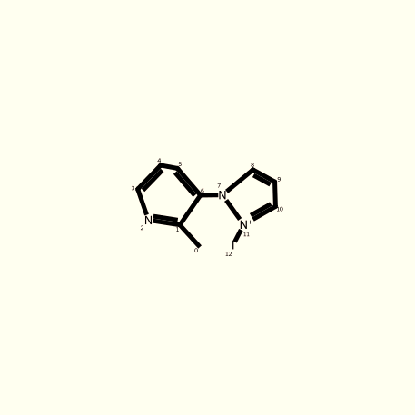 Cc1ncccc1-n1ccc[n+]1I